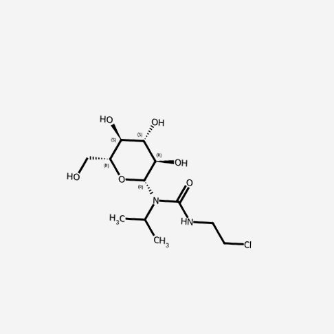 CC(C)N(C(=O)NCCCl)[C@@H]1O[C@H](CO)[C@@H](O)[C@H](O)[C@H]1O